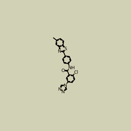 Cc1ccc2sc(-c3ccc(NC(=O)c4cc(-n5cnnc5)ccc4Cl)cc3)nc2c1